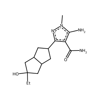 CCC1(O)CC2CC(c3nn(C)c(N)c3C(N)=O)CC2C1